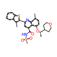 Cc1c(-c2cc(C(=O)NS(C)(=O)=O)c3c(O[C@H](C)C4CCOCC4)ccc(C)c3n2)sc2ccccc12